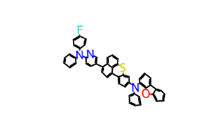 Fc1ccc(N(c2ccccc2)c2ccc(-c3ccc4c5c(cccc35)Sc3cc(N(c5ccccc5)c5cccc6c5oc5ccccc56)ccc3-4)cn2)cc1